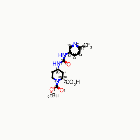 CC(C)(C)OC(=O)N1CC[C@@H](NC(=O)Nc2ccc(C(F)(F)F)nc2)C[C@@H]1C(=O)O